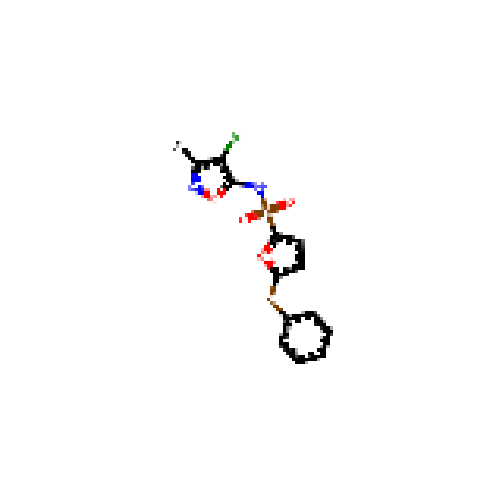 Cc1noc(NS(=O)(=O)c2ccc(Sc3ccccc3)o2)c1Br